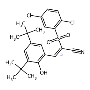 CC(C)(C)c1cc(/C=C(/C#N)S(=O)(=O)c2cc(Cl)ccc2Cl)c(O)c(C(C)(C)C)c1